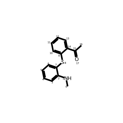 CNc1ccccc1Sc1ccccc1C(C)=O